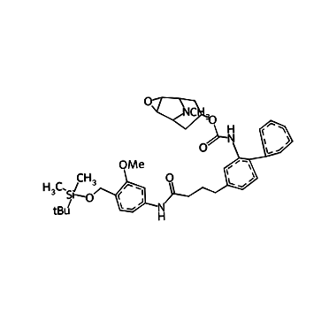 COc1cc(NC(=O)CCCc2ccc(-c3ccccc3)c(NC(=O)OC3CC4C5OC5C(C3)N4C)c2)ccc1CO[Si](C)(C)C(C)(C)C